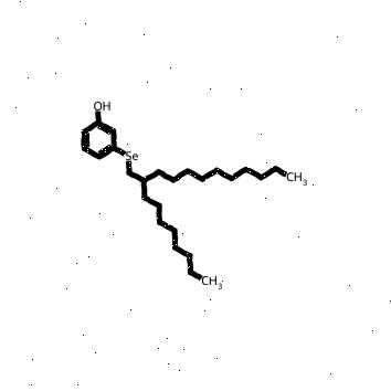 CCCCCCCCCCC(CCCCCCCC)C[Se]c1cccc(O)c1